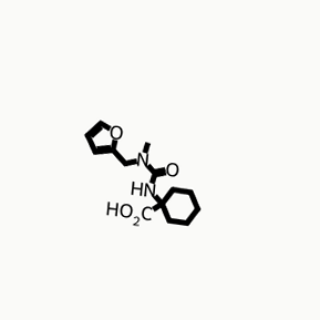 CN(Cc1ccco1)C(=O)NC1(C(=O)O)CCCCC1